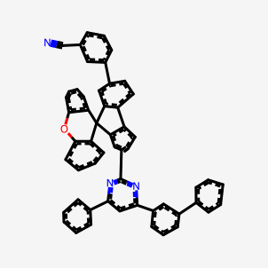 N#Cc1cccc(-c2ccc3c(c2)C2(c4ccccc4Oc4ccccc42)c2cc(-c4nc(-c5ccccc5)cc(-c5cccc(-c6ccccc6)c5)n4)ccc2-3)c1